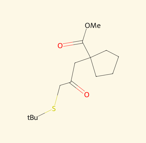 COC(=O)C1(CC(=O)CSC(C)(C)C)CCCC1